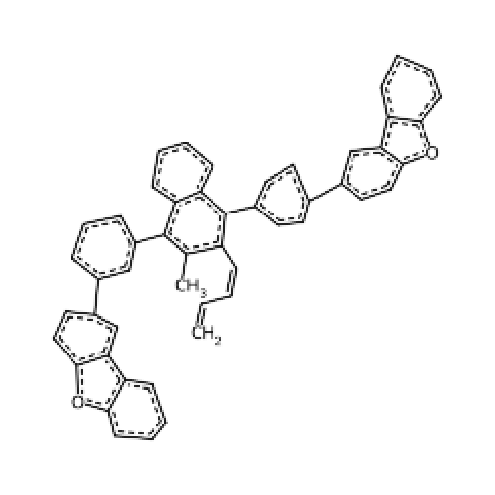 C=C/C=C\c1c(C)c(-c2cccc(-c3ccc4oc5ccccc5c4c3)c2)c2ccccc2c1-c1ccc(-c2ccc3oc4ccccc4c3c2)cc1